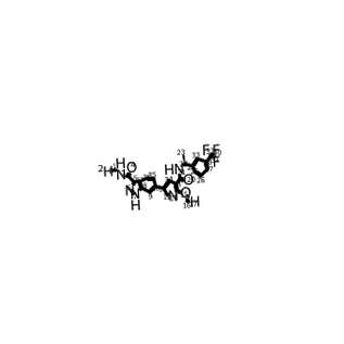 [2H]CNC(=O)c1n[nH]c2cc(-c3cnc(OC[2H])c(C(=O)N[C@@H](C)c4cccc(C(F)(F)F)c4)c3)ccc12